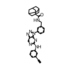 C#Cc1cccc(Nc2ncc3nnn(-c4cccc(CNC(=O)C56CC7CC(CC(C7)C5)C6)c4)c3n2)c1